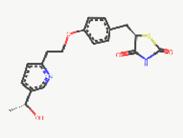 C[C@@H](O)c1ccc(CCOc2ccc(C[C@H]3SC(=O)NC3=O)cc2)nc1